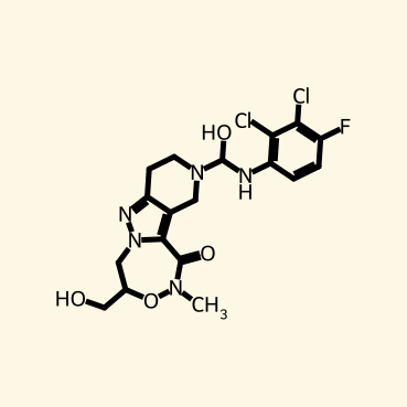 CN1OC(CO)Cn2nc3c(c2C1=O)CN(C(O)Nc1ccc(F)c(Cl)c1Cl)CC3